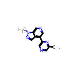 Cc1cncc(-c2cncc3c2cnn3C)n1